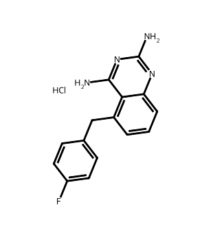 Cl.Nc1nc(N)c2c(Cc3ccc(F)cc3)cccc2n1